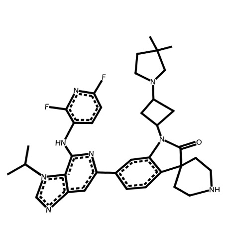 CC(C)n1cnc2cc(-c3ccc4c(c3)N(C3CC(N5CCC(C)(C)C5)C3)C(=O)C43CCNCC3)nc(Nc3ccc(F)nc3F)c21